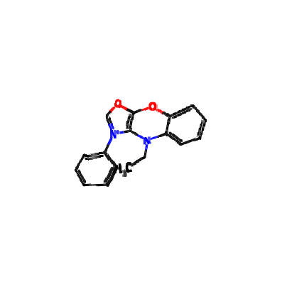 CCN1c2ccccc2Oc2oc[n+](-c3ccccc3)c21